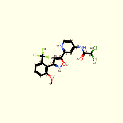 COc1cccc(C(F)(F)F)c1-c1cc(-c2cc(NC(=O)C(Cl)Cl)ccn2)on1